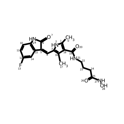 Cc1[nH]c(/C=C2\C(=O)Nc3ccc(F)cc32)c(C)c1C(=O)NCCCC(=O)NO